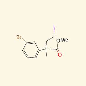 COC(=O)C(C)(CCI)c1cccc(Br)c1